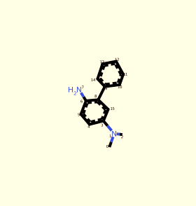 CN(C)c1ccc(N)c(-c2ccccc2)c1